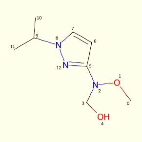 CON(CO)c1ccn(C(C)C)n1